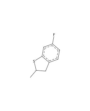 C[C]1Cc2ccc(F)cc2S1